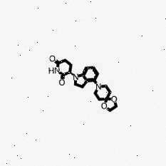 O=C1CC[C@@H](N2CCc3c(N4CCC5(CC4)OCCO5)cccc32)C(=O)N1